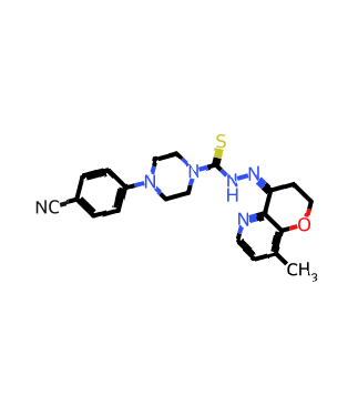 Cc1ccnc2c1OCC/C2=N/NC(=S)N1CCN(c2ccc(C#N)cc2)CC1